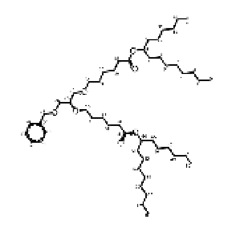 CCCCCCCCC(CCCCCC)OC(=O)CCCCCOCC(COCc1ccccc1)OCCCCCC(=O)OC(CCCCCC)CCCCCCCC